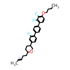 C/C=C/CCC1CCC(c2ccc(-c3ccc(-c4ccc(OCCCC)c(F)c4F)cc3)c(F)c2)CO1